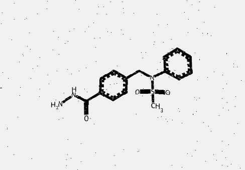 CS(=O)(=O)N(Cc1ccc(C(=O)NN)cc1)c1ccccc1